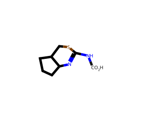 O=C(O)NC1=NC2CCCC2CS1